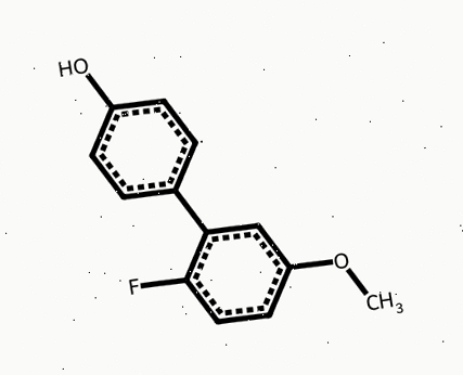 COc1ccc(F)c(-c2[c]cc(O)cc2)c1